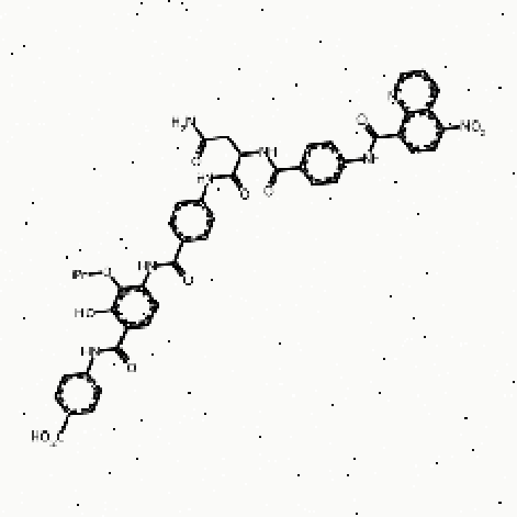 CC(C)Oc1c(NC(=O)c2ccc(NC(=O)C(CC(N)=O)NC(=O)c3ccc(NC(=O)c4ccc([N+](=O)[O-])c5cccnc45)cc3)cc2)ccc(C(=O)Nc2ccc(C(=O)O)cc2)c1O